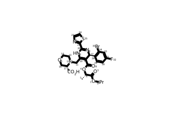 CC(C)OC(=O)[C@H](C)OC(=O)C1=C(CN2CCOC[C@H]2C(=O)O)NC(c2nccs2)=N[C@H]1c1ccc(F)cc1Br